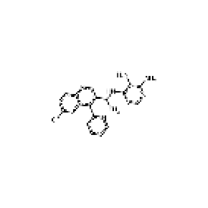 CC(Nc1ncnc(N)c1N)c1cnc2ccc(Cl)cc2c1-c1ccccn1